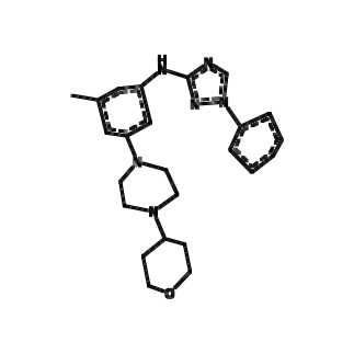 Cc1cc(Nc2ncn(-c3ccccc3)n2)cc(N2CCN(C3CCOCC3)CC2)c1